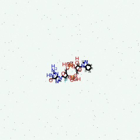 Nc1nc2c(ncn2C2OC3COP(=O)(O)OC4C(COP(=O)(O)OC3C2F)OC(n2cnc3ccccc32)C4O)c(=O)[nH]1